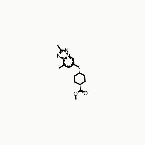 COC(=O)[C@H]1CC[C@H](Cc2cc(C)c3nc(C)nn3c2)CC1